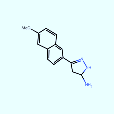 COc1ccc2cc(C3=NNC(N)C3)ccc2c1